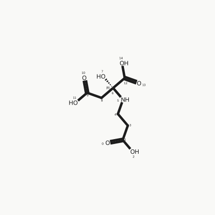 O=C(O)CCN[C@@](O)(CC(=O)O)C(=O)O